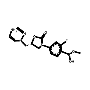 C=NN(/C=C\N)C[C@H]1CN(c2ccc(B(O)OC)c(F)c2)C(=O)O1